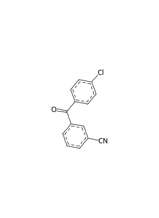 N#Cc1cccc(C(=O)c2ccc(Cl)cc2)c1